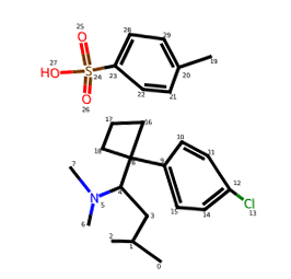 CC(C)CC(N(C)C)C1(c2ccc(Cl)cc2)CCC1.Cc1ccc(S(=O)(=O)O)cc1